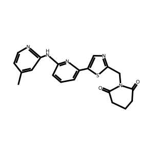 Cc1ccnc(Nc2cccc(-c3cnc(CN4C(=O)CCCC4=O)s3)n2)c1